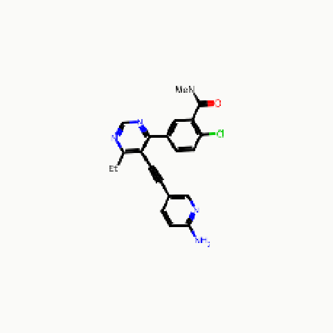 CCc1ncnc(-c2ccc(Cl)c(C(=O)NC)c2)c1C#Cc1ccc(N)nc1